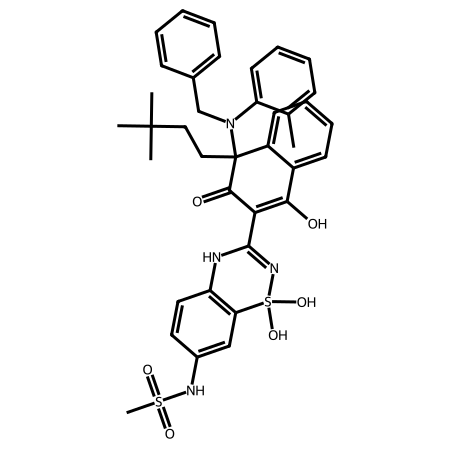 Cc1ccccc1N(Cc1ccccc1)C1(CCC(C)(C)C)C(=O)C(C2=NS(O)(O)c3cc(NS(C)(=O)=O)ccc3N2)=C(O)c2ccccc21